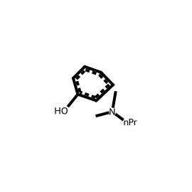 CCCN(C)C.Oc1ccccc1